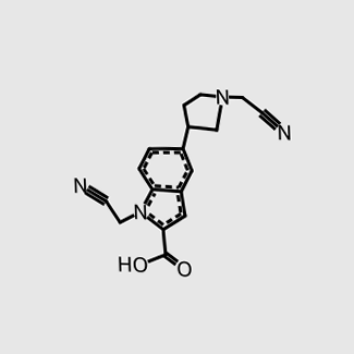 N#CCN1CCC(c2ccc3c(c2)cc(C(=O)O)n3CC#N)C1